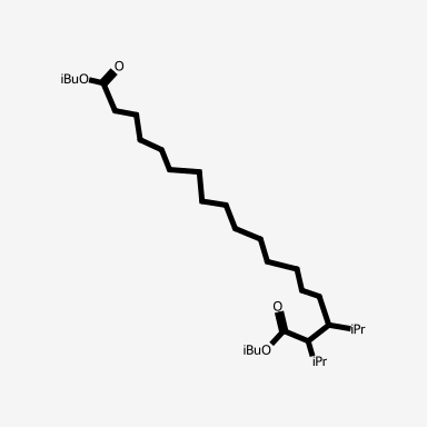 CC(C)COC(=O)CCCCCCCCCCCCCCC(C(C)C)C(C(=O)OCC(C)C)C(C)C